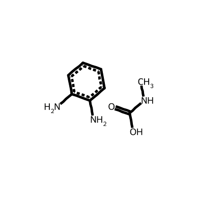 CNC(=O)O.Nc1ccccc1N